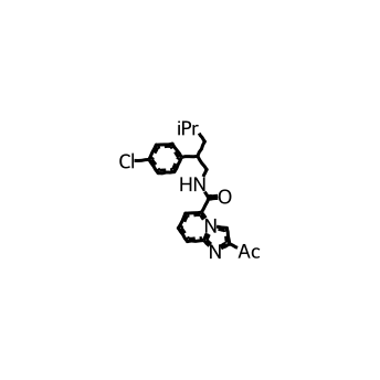 CC(=O)c1cn2c(C(=O)NCC(CC(C)C)c3ccc(Cl)cc3)cccc2n1